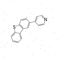 [c]1cc2sc3ccccc3c2cc1-c1ccncc1